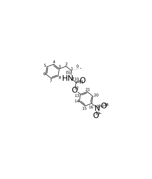 [CH2][C@@H](Cc1ccccc1)NC(=O)Oc1ccc([N+](=O)[O-])cc1